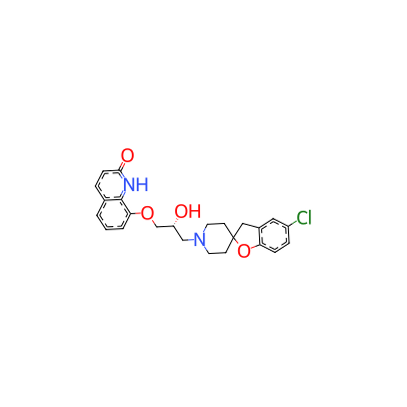 O=c1ccc2cccc(OC[C@H](O)CN3CCC4(CC3)Cc3cc(Cl)ccc3O4)c2[nH]1